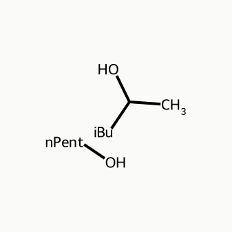 CCC(C)C(C)O.CCCCCO